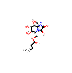 O=C(O)CCC(=O)OC[C@@H]1[C@@H](O)[C@H](O)[C@H](O)[C@H]2NC(=O)C(=O)N12